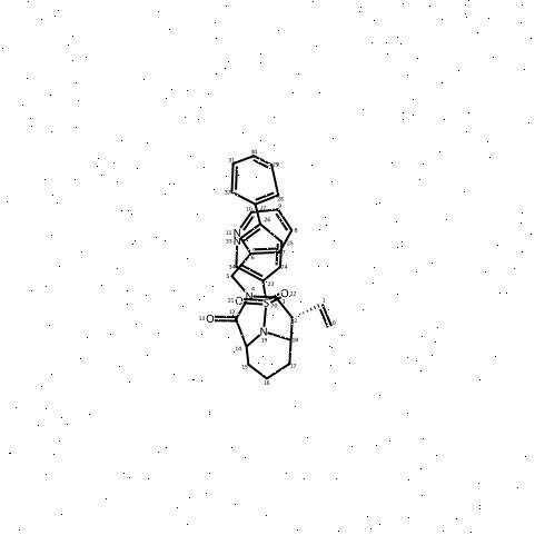 C=C[C@H]1CN(Cc2ccccn2)C(=O)C2CCCC1N2S(=O)(=O)c1ccc(-c2ccccc2)nc1